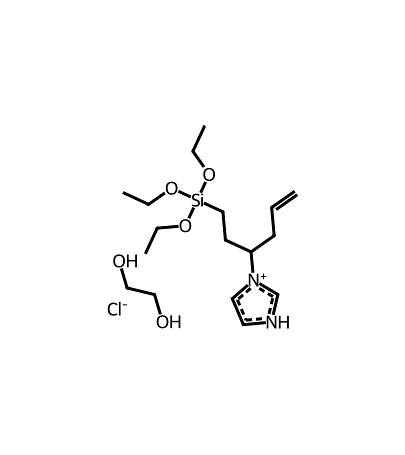 C=CCC(CC[Si](OCC)(OCC)OCC)[n+]1cc[nH]c1.OCCO.[Cl-]